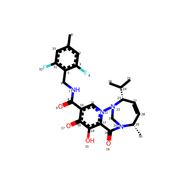 Cc1cc(F)c(CNC(=O)c2cn3c(c(O)c2=O)C(=O)N2CN3[C@H](C(C)C)C=C[C@@H]2C)c(F)c1